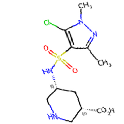 Cc1nn(C)c(Cl)c1S(=O)(=O)N[C@H]1CNC[C@@H](C(=O)O)C1